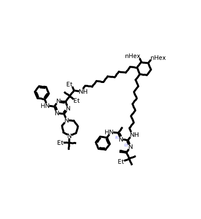 C=C(/N=C(\N=C(/C)Nc1ccccc1)NCCCCCCCCCC1CCC(CCCCCC)C(CCCCCC)C1CCCCCCCCCNC(CC)C(C)(CC)c1nc(Nc2ccccc2)nc(N2CCCN(C(C)(C)CC)CC2)n1)C(C)(C)CC